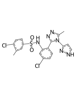 Cc1cc(S(=O)(=O)Nc2cc(Cl)ccc2-c2nnc(C)n2-c2cc[nH]n2)ccc1Cl